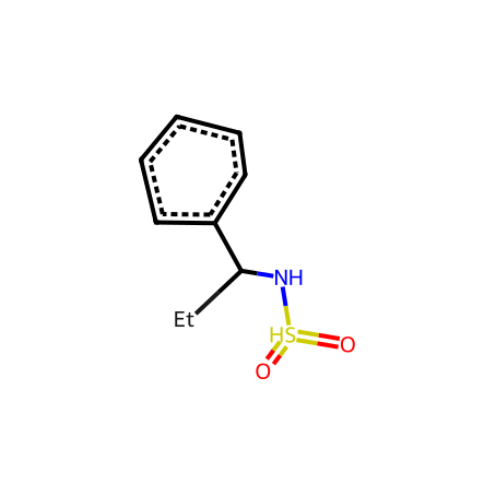 [CH2]CC(N[SH](=O)=O)c1ccccc1